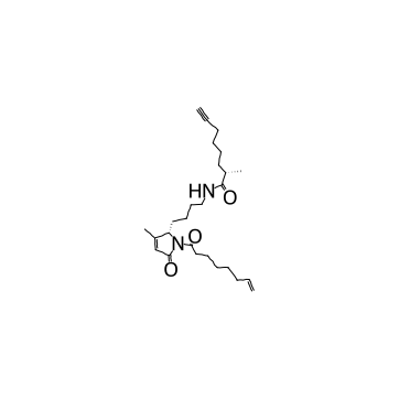 C#CCCCC[C@H](C)C(=O)NCCCC[C@H]1C(C)=CC(=O)N1C(=O)CCCCCC=C